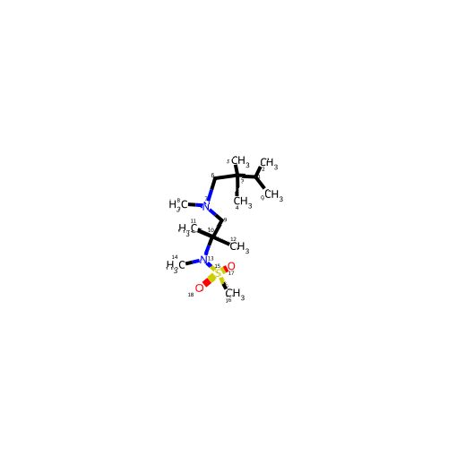 CC(C)C(C)(C)CN(C)CC(C)(C)N(C)S(C)(=O)=O